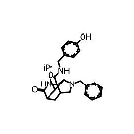 CC(C)CC1C2CC3CN(Cc4ccccc4)C1C3(C(=O)NCc1ccc(O)cc1)NC2=O